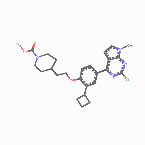 Cn1ccc2c(-c3ccc(OCCC4CCN(C(=O)OC(C)(C)C)CC4)c(C4CCC4)c3)nc(Cl)nc21